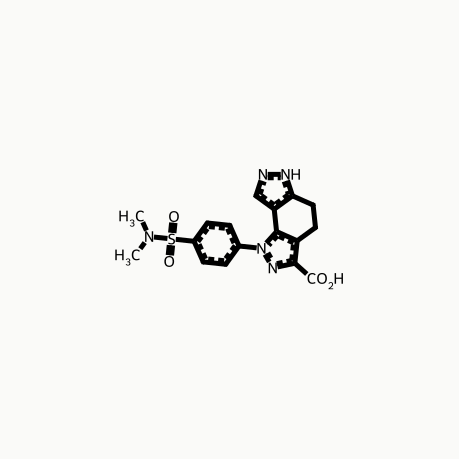 CN(C)S(=O)(=O)c1ccc(-n2nc(C(=O)O)c3c2-c2cn[nH]c2CC3)cc1